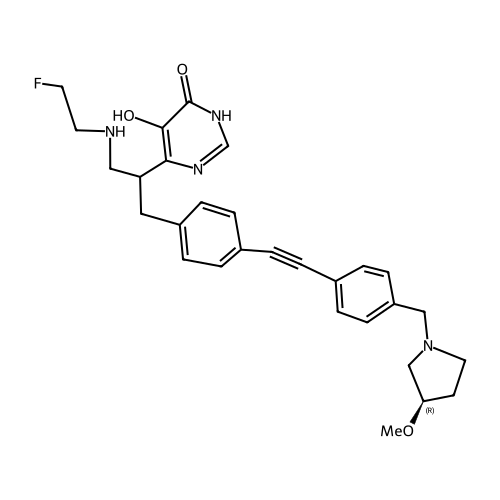 CO[C@@H]1CCN(Cc2ccc(C#Cc3ccc(CC(CNCCF)c4nc[nH]c(=O)c4O)cc3)cc2)C1